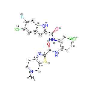 CN1CCc2nc(C(=O)N[C@H]3CCCC[C@@H]3NC(=O)c3cc4cc(Cl)c(F)cc4[nH]3)sc2C1.Cl